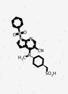 CN(c1c(C#N)cnc2c1ccn2S(=O)(=O)c1ccccc1)[C@H]1CC[C@H](CS(=O)(=O)O)CC1